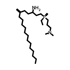 C=C(CCCCCCCCCCCCC)CCC(N)CCP(=C)(CC)CCCN(C)C